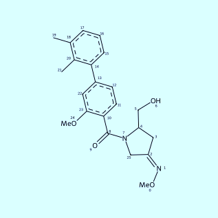 CO/N=C1/CC(CO)N(C(=O)c2ccc(-c3cccc(C)c3C)cc2OC)C1